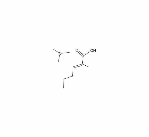 CCC/C=C(\C)C(=O)O.CN(C)C